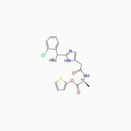 CCCCC(c1ncc(CC(=O)N[C@@H](C)C(=O)Oc2cccs2)[nH]1)c1ccccc1Cl